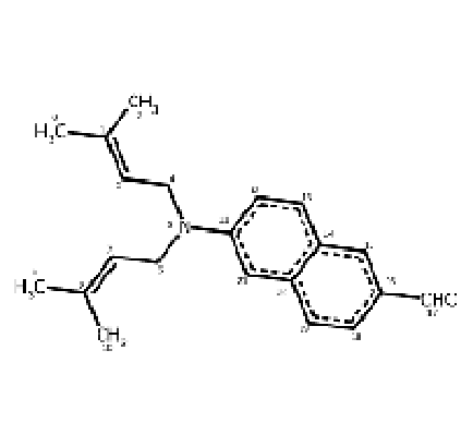 CC(C)=CCN(CC=C(C)C)c1ccc2cc(C=O)ccc2c1